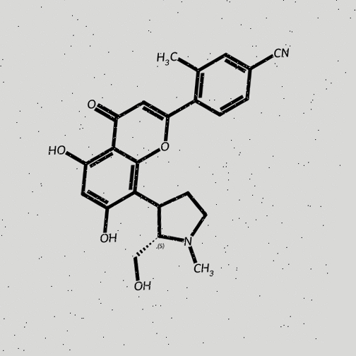 Cc1cc(C#N)ccc1-c1cc(=O)c2c(O)cc(O)c(C3CCN(C)[C@@H]3CO)c2o1